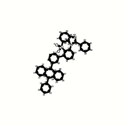 O=S1(=O)c2c(-c3cccc(-c4c5ccccc5c(-c5ccccc5)c5ccccc45)c3)cccc2-n2c(-c3ccccc3)nc3cccc1c32